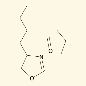 C=O.CCC.CCCCC1COC=N1